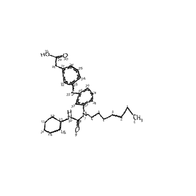 CCCCCCCN(C(=O)NC1CCCCC1)c1cccc(Sc2cccc(CC(=O)O)c2)c1